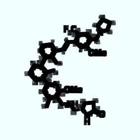 COc1cc(/C=C/c2cccc(-c3cccc(-c4cc(C)c(CNC[C@@H]5CCC(=O)N5)c(OC)n4)c3C)c2C)c(C(F)(F)F)cc1CN1CCCC1